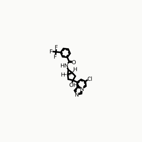 O=C(NC1[C@H]2CC(O)(c3cc(Cl)cn4cncc34)C[C@@H]12)c1cccc(C(F)(F)F)c1